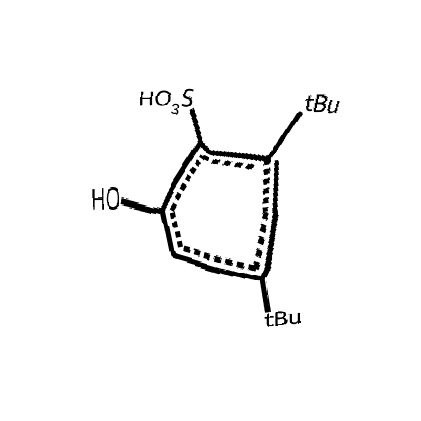 CC(C)(C)c1cc(O)c(S(=O)(=O)O)c(C(C)(C)C)c1